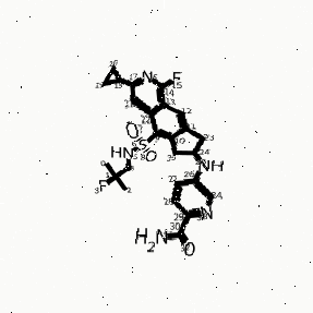 CC(C)(F)CNS(=O)(=O)c1c2c(cc3c(F)nc(C4CC4)cc13)CC(Nc1ccc(C(N)=O)nc1)C2